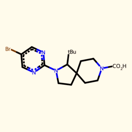 CC(C)(C)C1N(c2ncc(Br)cn2)CCC12CCN(C(=O)O)CC2